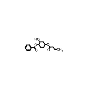 C=CCC(=O)OC1CCC(OC(=O)c2ccccc2)C(O)C1